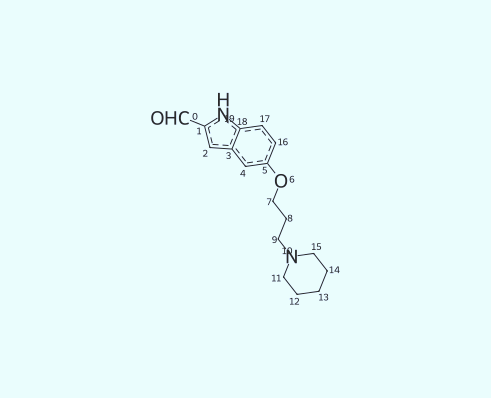 O=Cc1cc2cc(OCCCN3CCCCC3)ccc2[nH]1